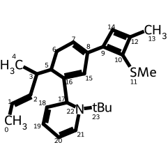 CC=CC(C)C1CC=C(C2=C(SC)C(C)=C2)C=C1C1C=CC=CN1C(C)(C)C